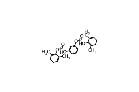 CC1=CCCC(C)=C1O[PH](=O)Oc1cccc(O[PH](=O)OC2=C(C)CCC=C2C)c1